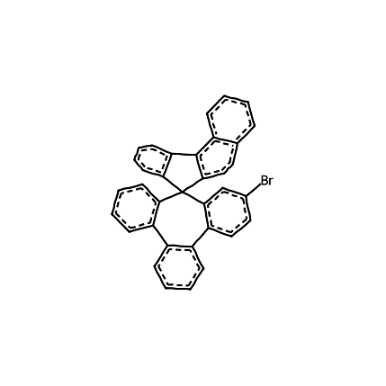 Brc1ccc2c(c1)C1(c3ccccc3-c3ccccc3-2)c2ccccc2-c2c1ccc1ccccc21